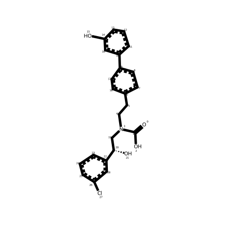 O=C(O)N(CCc1ccc(-c2cccc(O)c2)cc1)C[C@H](O)c1cccc(Cl)c1